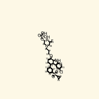 O=P(O)(O)OCCN(CCCOC1=CC=C(c2cccc(S(=O)(=O)C3CC3)c2)C2c3cc(Cl)cnc3NC12)CC(F)F